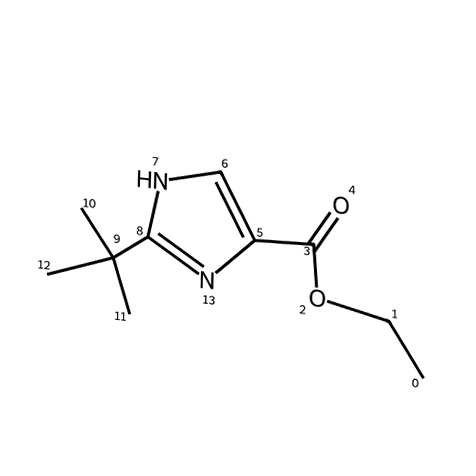 CCOC(=O)c1c[nH]c(C(C)(C)C)n1